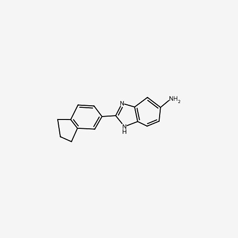 Nc1ccc2[nH]c(-c3ccc4c(c3)CCC4)nc2c1